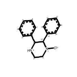 ClN1CCNC(c2ccccc2)C1c1ccccc1